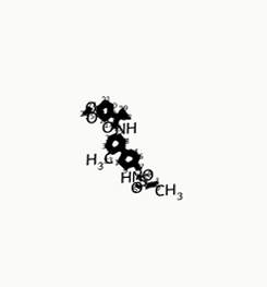 CCCS(=O)(=O)NCc1ccc(-c2cc(NC(=O)C3(c4ccc5c(c4)OCO5)CC3)ccc2C)cc1